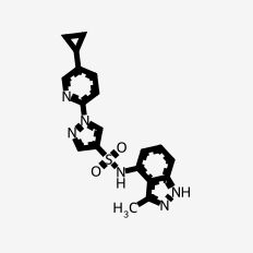 Cc1n[nH]c2cccc(NS(=O)(=O)c3cnn(-c4ccc(C5CC5)cn4)c3)c12